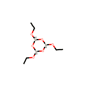 CCO[SiH]1O[SiH](OCC)O[SiH](OCC)O1